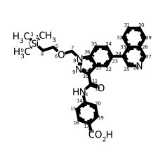 C[Si](C)(C)CCOCn1nc(C(=O)Nc2ccc(C(=O)O)cc2)c2cc(-c3cncc4ccccc34)ccc21